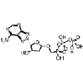 Nc1ncnc2nn([C@@H]3O[C@H](OCP(=O)(O)OP(=O)(O)OP(=O)(O)O)C[C@H]3O)nc12